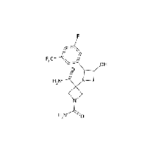 NC(=O)N1CC(C(N)=O)(N2CC(O)C2c2cc(F)cc(C(F)(F)F)c2)C1